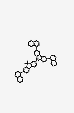 CC1(C)c2cc(-c3cccc4ccccc34)ccc2-c2ccc(-n3c4ccc(-c5cccc6ccccc56)cc4c4cc(-c5cccc6ccccc56)ccc43)cc21